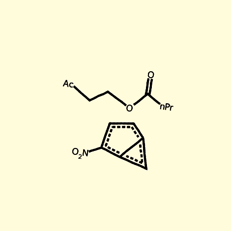 CCCC(=O)OCCC(C)=O.O=[N+]([O-])c1ccc2cc1-2